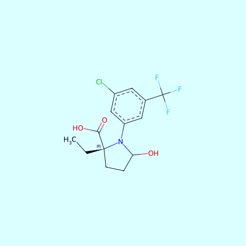 CC[C@]1(C(=O)O)CCC(O)N1c1cc(Cl)cc(C(F)(F)F)c1